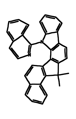 CC1(C)c2ccc3c4ccccc4n(-c4nccc5ccccc45)c3c2-c2ccc3ccccc3c21